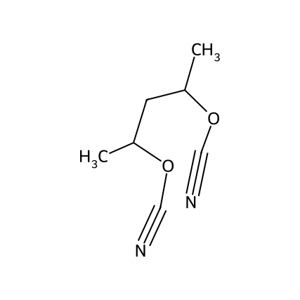 CC(CC(C)OC#N)OC#N